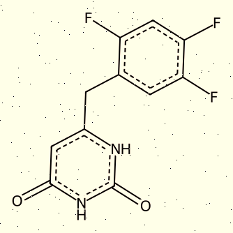 O=c1cc(Cc2cc(F)c(F)cc2F)[nH]c(=O)[nH]1